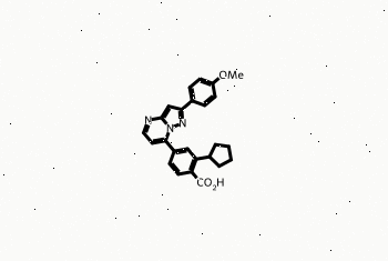 COc1ccc(-c2cc3nccc(-c4ccc(C(=O)O)c(C5CCCC5)c4)n3n2)cc1